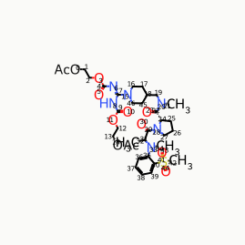 CC(=O)OCCOC(=O)/N=C(\NC(=O)OCCOC(C)=O)N1CCC(CN(C)C(=O)[C@@H]2CCCN2C(=O)C(C)N(C)c2ccccc2S(C)(=O)=O)CC1